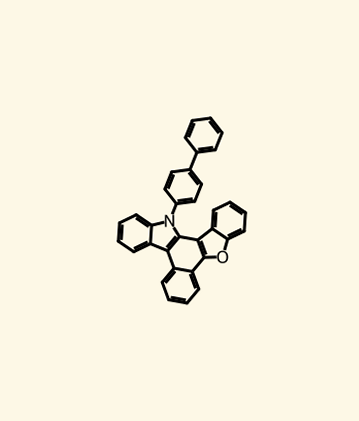 c1ccc(-c2ccc(-n3c4ccccc4c4c5ccccc5c5oc6ccccc6c5c43)cc2)cc1